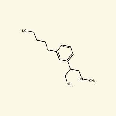 CCCCSc1cccc(C(CN)CNC)c1